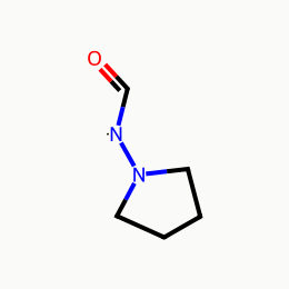 O=C[N]N1CCCC1